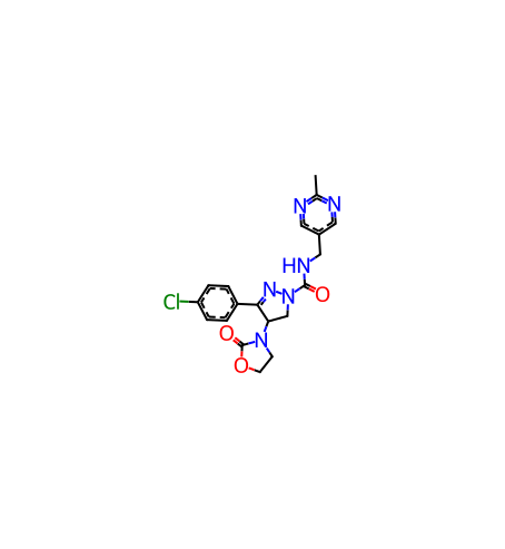 Cc1ncc(CNC(=O)N2CC(N3CCOC3=O)C(c3ccc(Cl)cc3)=N2)cn1